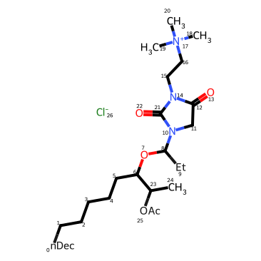 CCCCCCCCCCCCCCCC(OC(CC)N1CC(=O)N(CC[N+](C)(C)C)C1=O)C(C)OC(C)=O.[Cl-]